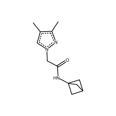 Cc1cn(CC(=O)NC23CC(C2)C3)nc1C